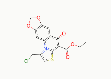 CCOC(=O)c1c(=O)c2cc3c(cc2n2c(CCl)csc12)OCO3